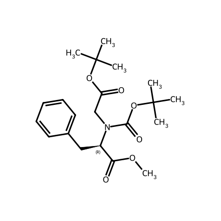 COC(=O)[C@@H](Cc1ccccc1)N(CC(=O)OC(C)(C)C)C(=O)OC(C)(C)C